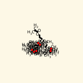 C=C(C)C(=O)OCCC[Si](O[Si](C)(C)CC[Si](O[Si](C)(C)C)(O[Si](C)(C)C)O[Si](C)(C)C)(O[Si](C)(C)CC[Si](O[Si](C)(C)C)(O[Si](C)(C)C)O[Si](C)(C)C)O[Si](C)(C)CC[Si](O[Si](C)(C)C)(O[Si](C)(C)C)O[Si](C)(C)C